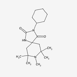 CN1C(C)(C)CC2(CC1(C)C)NC(=O)N(C1CCCCC1)C2=O